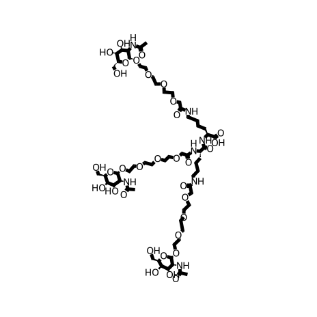 CC(=O)NC1[C@H](OCCOCCOCCOCC(=O)NCCCC[C@H](NC(=O)[C@H](CCCCNC(=O)COCCOCCOCCO[C@@H]2O[C@H](CO)[C@H](O)[C@H](O)[C@H]2NC(C)=O)NC(=O)COCCOCCOCCO[C@@H]2O[C@H](CO)[C@H](O)[C@H](O)[C@H]2NC(C)=O)C(=O)O)O[C@H](CO)[C@H](O)[C@@H]1O